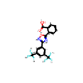 O=C(O)c1ccccc1-c1nc(-c2cc(C(F)(F)F)cc(C(F)(F)F)c2)no1